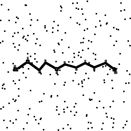 CCOCCOCCCCCBr